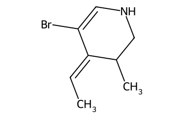 C/C=C1/C(Br)=CNCC1C